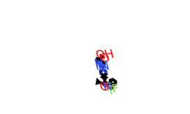 O=C(O)c1ccn2nc(N3CCC4(C=C(c5c(-c6ccccc6C(F)(F)F)noc5C5CC5)C4)CC3)ncc12